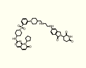 O=C1CCC(N2Cc3cc(NCCNCC4CCN(c5cccc(S(=O)(=O)N6CCC(Nc7ncc8ccc(=O)n(C9CCCC9)c8n7)CC6)c5)CC4)ccc3C2=O)C(=O)N1